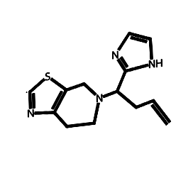 C=CCC(c1ncc[nH]1)N1CCc2n[c]sc2C1